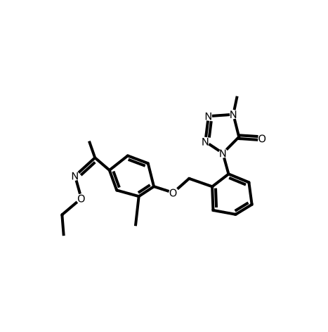 CCO/N=C(/C)c1ccc(OCc2ccccc2-n2nnn(C)c2=O)c(C)c1